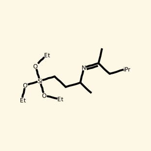 CCO[Si](CCC(C)N=C(C)CC(C)C)(OCC)OCC